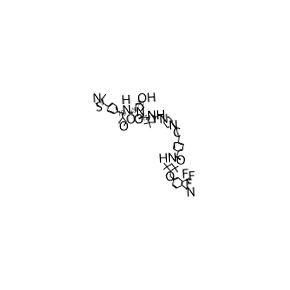 Cc1ncsc1-c1ccc([C@@H](NC(=O)[C@@H]2C[C@@H](O)CN2C(=O)[C@H]2NC(CN3CCN(CCCc4ccc(C(=O)N[C@H]5C(C)(C)[C@H](Oc6ccc(C#N)c(C(F)(F)F)c6)C5(C)C)cc4)CC3)=CC2(C)C)C2COC2)cc1